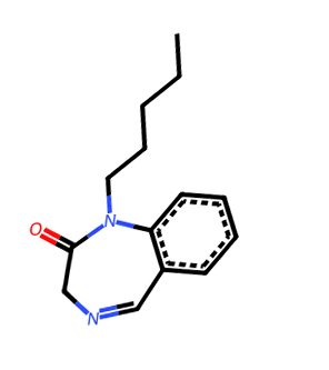 CCCCCN1C(=O)CN=Cc2ccccc21